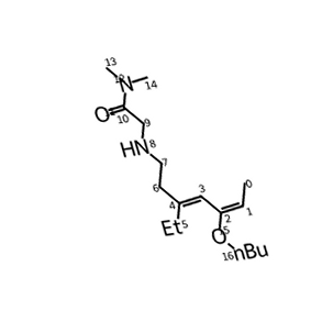 C/C=C(\C=C(/CC)CCNCC(=O)N(C)C)OCCCC